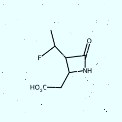 CC(F)C1C(=O)NC1CC(=O)O